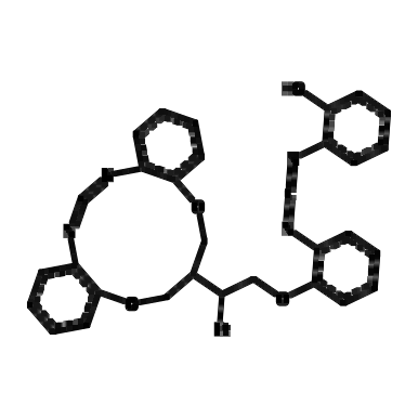 CCC(COc1ccccc1N=C=Nc1ccccc1O)C1COc2ccccc2N=C=Nc2ccccc2OC1